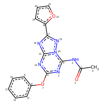 CC(=O)Nc1nc(Oc2ccccc2)nc2nc(-c3ccco3)nn12